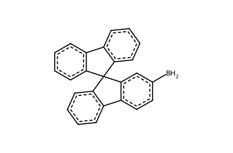 Bc1ccc2c(c1)C1(c3ccccc3-c3ccccc31)c1ccccc1-2